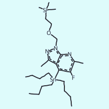 CCC[CH2][Sn]([CH2]CCC)([CH2]CCC)[c]1c(F)c(C)nc2c1c(C)nn2COCC[Si](C)(C)C